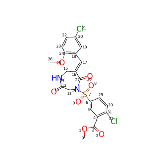 COC(=O)c1cc(S(=O)(=O)N2CC(=O)NC/C(=C\c3cc(Cl)ccc3OC)C2=O)ccc1Cl